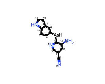 N#Cc1cnc([AsH]c2ccc3[nH]ccc3c2)c(N)c1